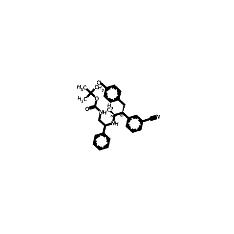 C[C@H](NC(CNC(=O)OC(C)(C)C)c1ccccc1)[C@@H](Cc1ccc(Cl)cc1)c1cccc(C#N)c1